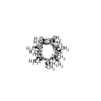 C=C[Si]1(C)N[Si](C)(C=C)N[Si](C)(C=C)N[Si](C)(C=C)N[Si](C)(C=C)N[Si](C)(C=C)N[Si](C)(C=C)N1